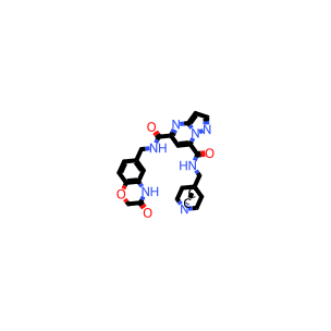 O=C1COc2ccc(CNC(=O)c3cc(C(=O)NCC45CCN(CC4)CC5)n4nccc4n3)cc2N1